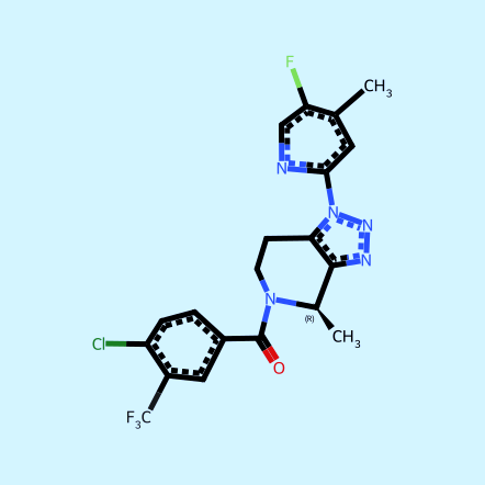 Cc1cc(-n2nnc3c2CCN(C(=O)c2ccc(Cl)c(C(F)(F)F)c2)[C@@H]3C)ncc1F